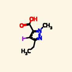 CCc1nn(C)c(C(=O)O)c1I